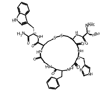 CCCC[C@H](NC(C)=O)C(=O)NC1CSSCC(C(=O)N[C@@H](Cc2c[nH]c3ccccc23)C(N)=O)NC(=O)CNC(=O)C(Cc2ccccc2)NC(=O)[C@H](Cc2c[nH]cn2)NC1=O